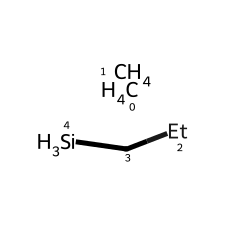 C.C.[CH2]CC[SiH3]